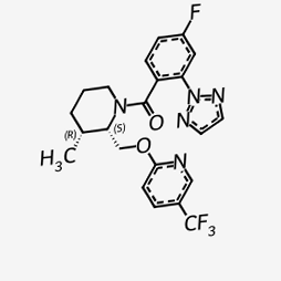 C[C@@H]1CCCN(C(=O)c2ccc(F)cc2-n2nccn2)[C@@H]1COc1ccc(C(F)(F)F)cn1